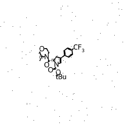 C[C@H]1COCCN1C(=O)[C@@H]1CC(c2ccc(C(F)(F)F)cc2)=CN1C(=O)OC(C)(C)C